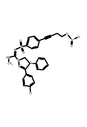 CN/C(=N/S(=O)(=O)c1ccc(C#CCCO[N+](=O)[O-])cc1)N1C[C@@H](c2ccccc2)C(c2ccc(Cl)cc2)=N1